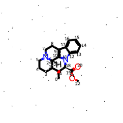 CC[C@]12CCCN3CCc4c(n(c5ccccc45)[C@@H](C(=O)OC)C1)[C@@H]32